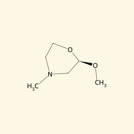 CO[C@H]1CN(C)CCO1